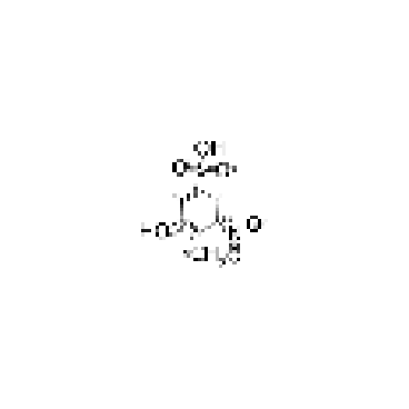 Cc1c(O)cc(S(=O)(=O)O)cc1[N+](=O)[O-]